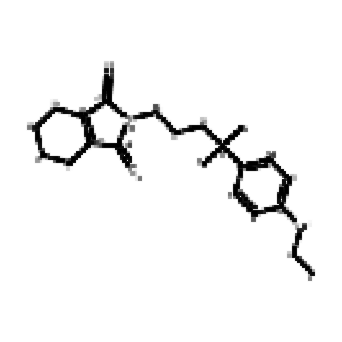 CCOc1ccc(C(C)(C)CCCN2C(=O)C3=C(CCCC3)C2=O)cc1